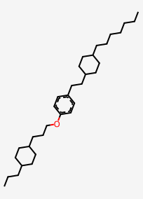 CCCCCCCC1CCC(CCc2ccc(OCCCC3CCC(CCC)CC3)cc2)CC1